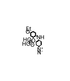 CCOc1ccc(NC2=CCC(=[N+]=[N-])C=C2)c(OP(=O)(O)O)c1